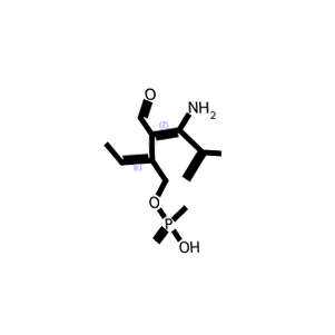 C=C(C)/C(N)=C(C=O)\C(=C/C)COP(=C)(C)O